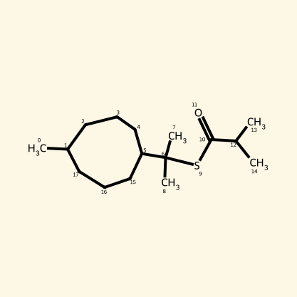 CC1CCCC(C(C)(C)SC(=O)C(C)C)CCC1